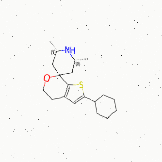 C[C@@H]1CC2(C[C@H](C)N1)OCCc1cc(C3CCCCC3)sc12